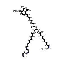 CC/C=C\C/C=C\C/C=C\CCCCCCCC(=O)OCC(COC(=O)CCCCCCC/C=C\CCCCCCCC)OC(=O)CCCCCCCC1C=CC(CCCCCC)C2C(=O)OC(=O)C12